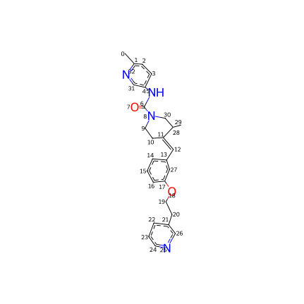 Cc1ccc(NC(=O)N2CCC(=Cc3cccc(OCCc4cccnc4)c3)C(C)C2)cn1